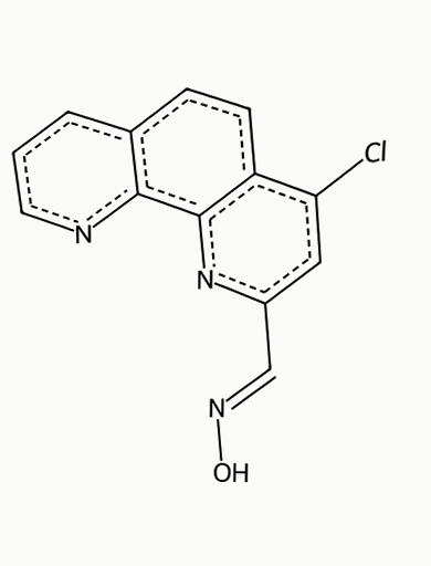 ON=Cc1cc(Cl)c2ccc3cccnc3c2n1